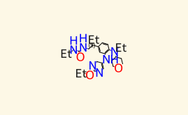 CCNC(=O)NC[C@@H](CC)c1ccc(N(CC)C2CCOCC2)c(Nc2cnc(OCC)nc2)c1